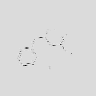 CCCCCCCCCC(=O)N[C@@H](Cc1ccccc1)C(=O)[O-].[Na+]